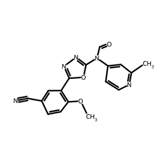 COc1ccc(C#N)cc1-c1nnc(N(C=O)c2ccnc(C)c2)o1